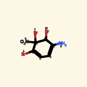 NC1=CC=C(Br)C(Br)([N+](=O)[O-])C1Br